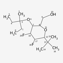 CCC(C)(CC)OC1C(CO)OC(C(C)(C)C)C(F)C1F